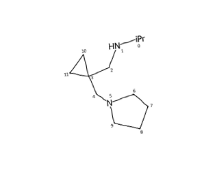 CC(C)NCC1(CN2CCCC2)CC1